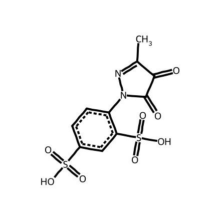 CC1=NN(c2ccc(S(=O)(=O)O)cc2S(=O)(=O)O)C(=O)C1=O